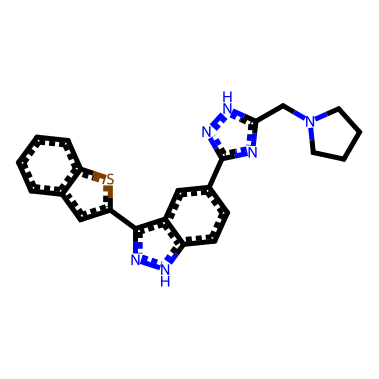 c1ccc2sc(-c3n[nH]c4ccc(-c5n[nH]c(CN6CCCC6)n5)cc34)cc2c1